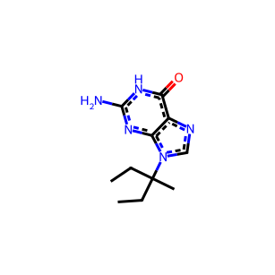 CCC(C)(CC)n1cnc2c(=O)[nH]c(N)nc21